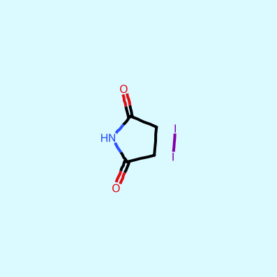 II.O=C1CCC(=O)N1